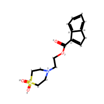 O=C(OCCN1CCS(=O)(=O)CC1)C1=CCc2ccccc21